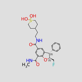 CNC(=O)c1cc(C(=O)NCCC2CCS(O)(O)CC2)cc2c1O[C@H](CF)[C@H]2c1ccccc1